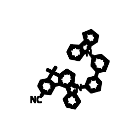 CC1(C)c2ccc(C#N)cc2-c2c1ccc1c2c2ccccc2n1-c1cccc(-c2cccc(-n3c4ccccc4c4ccccc43)c2)c1